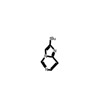 CC(C)(C)c1cn2cnccc2n1